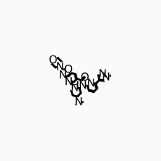 CN(C)C1CCN(c2nc3nc(N4CCOCC4)oc3cc2C(=O)Nc2cccc(-c3cnn(C)c3)n2)CC1